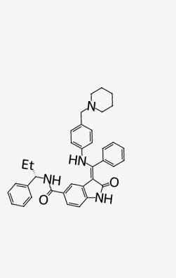 CC[C@H](NC(=O)c1ccc2c(c1)C(=C(Nc1ccc(CN3CCCCC3)cc1)c1ccccc1)C(=O)N2)c1ccccc1